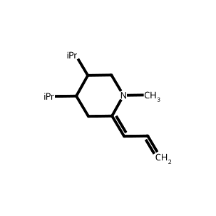 C=C/C=C1/CC(C(C)C)C(C(C)C)CN1C